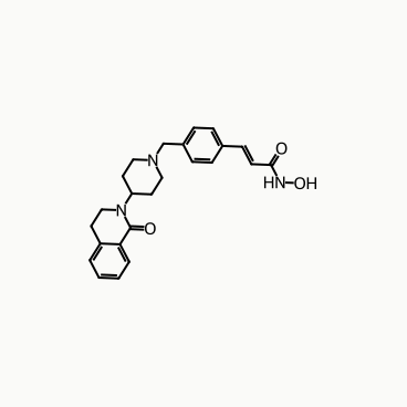 O=C(C=Cc1ccc(CN2CCC(N3CCc4ccccc4C3=O)CC2)cc1)NO